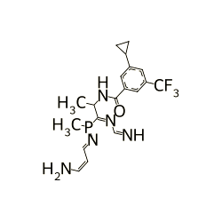 CC(NC(=O)c1cc(C2CC2)cc(C(F)(F)F)c1)/C(=N/C=N)P(C)/N=C/C=C\N